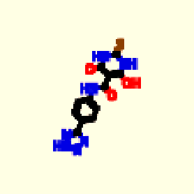 O=C(Nc1ccc(-c2nn[nH]n2)cc1)c1c(O)[nH]c(=S)[nH]c1=O